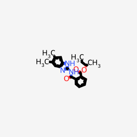 CCC(C)OC(=O)c1ccccc1C(=O)Nc1nc2cc(C)c(C)cc2[nH]1